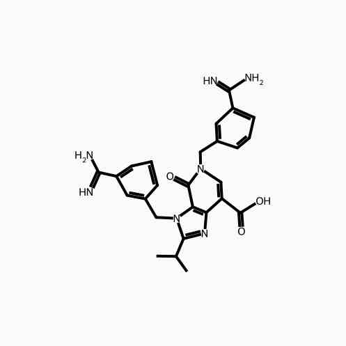 CC(C)c1nc2c(C(=O)O)cn(Cc3cccc(C(=N)N)c3)c(=O)c2n1Cc1cccc(C(=N)N)c1